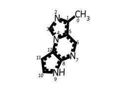 Cc1n[c]n2c1cnc1[nH]ccc12